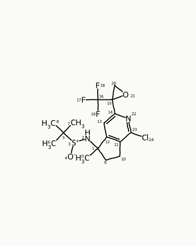 CC1(N[S+]([O-])C(C)(C)C)CCc2c1cc(C1(C(F)(F)F)CO1)nc2Cl